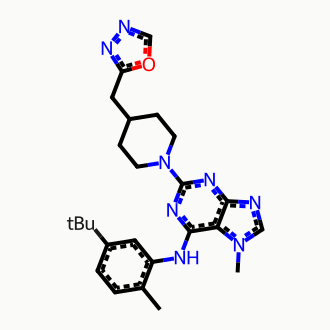 Cc1ccc(C(C)(C)C)cc1Nc1nc(N2CCC(Cc3nnco3)CC2)nc2ncn(C)c12